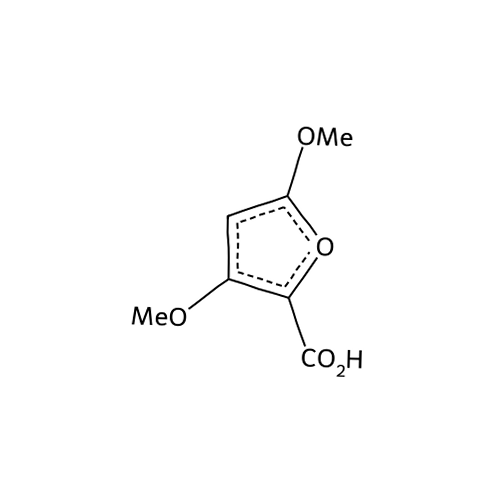 COc1cc(OC)c(C(=O)O)o1